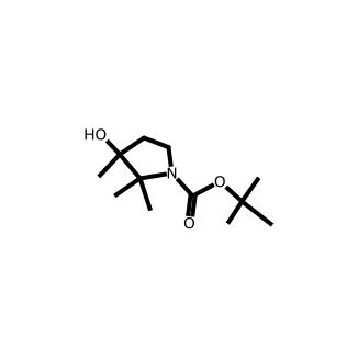 CC(C)(C)OC(=O)N1CCC(C)(O)C1(C)C